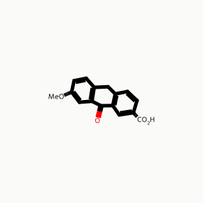 COc1ccc2c(c1)C(=O)c1cc(C(=O)O)ccc1C2